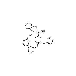 OC(c1nc2ccccc2n1CCc1ccccc1)C1CCN(Cc2ccccc2)C(Cc2ccccc2)C1